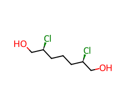 OC[C@@H](Cl)CCC[C@@H](Cl)CO